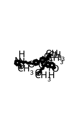 COCCCC(OC1CN(C(=O)OC(C)(C)C)CCC1c1ccc(OCCCCNc2ncccc2OC)cc1)c1ccc2c(c1)NC(=O)CC2